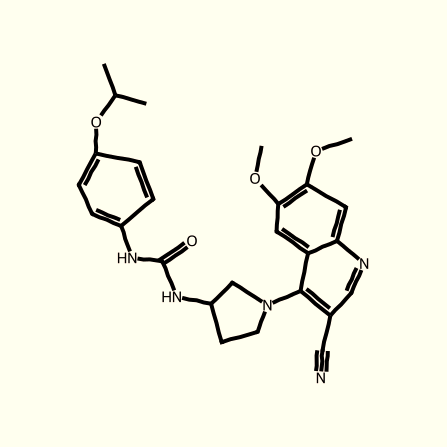 COc1cc2ncc(C#N)c(N3CCC(NC(=O)Nc4ccc(OC(C)C)cc4)C3)c2cc1OC